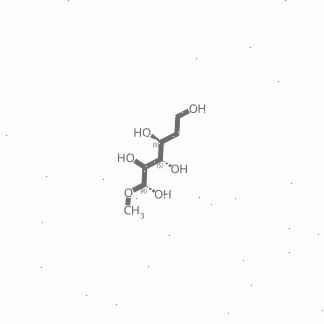 CO[C@@H](O)C(O)[C@@H](O)[C@@H](O)CCO